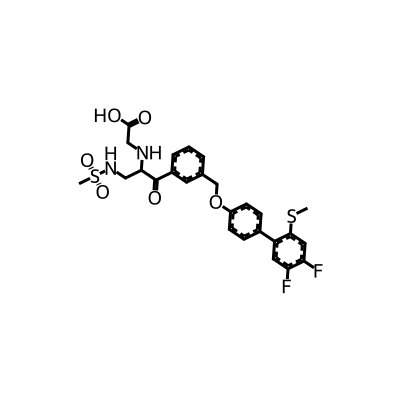 CSc1cc(F)c(F)cc1-c1ccc(OCc2cccc(C(=O)C(CNS(C)(=O)=O)NCC(=O)O)c2)cc1